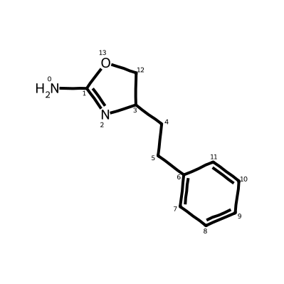 NC1=NC(CCc2ccccc2)CO1